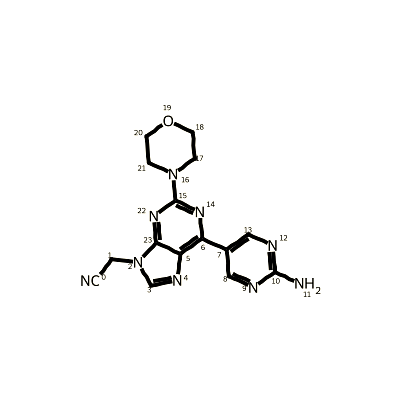 N#CCn1cnc2c(-c3cnc(N)nc3)nc(N3CCOCC3)nc21